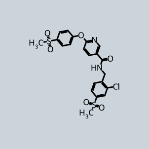 CS(=O)(=O)c1ccc(Oc2ccc(C(=O)NCc3ccc(S(C)(=O)=O)cc3Cl)cn2)cc1